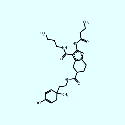 CCCCNC(=O)c1c(NC(=O)CCC)sc2c1CC(C(=O)NCCC1(C)C=CC(O)=CC1)CC2